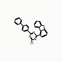 Clc1nc(-c2ccc(-c3ccccc3)cc2)nc(-c2cccc3sc4ccccc4c23)n1